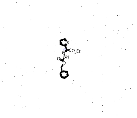 CCOC(=O)/C(=N\NC(=O)OCc1ccccc1)c1cccs1